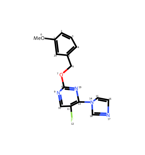 COc1cccc(COc2ncc(F)c(-n3ccnc3)n2)c1